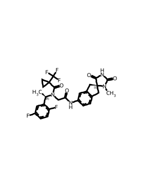 C[C@H](c1cc(F)ccc1F)N(CC(=O)Nc1ccc2c(c1)C[C@@]1(C2)C(=O)NC(=O)N1C)C(=O)C1(C(F)(F)F)CC1